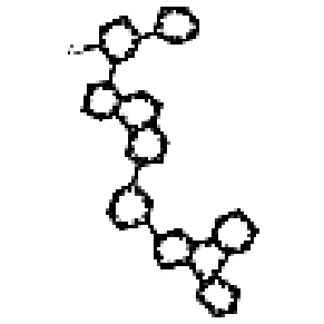 CC(=O)c1ccc(-c2ccccc2)cc1-c1cccc2c1ccc1ccc(-c3cccc(-c4ccc5c6ccccc6c6ccccc6c5c4)c3)cc12